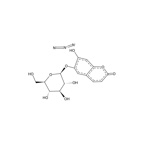 O=c1ccc2cc(O[C@@H]3O[C@H](CO)[C@@H](O)[C@H](O)[C@H]3O)c(O)cc2o1.[N-]=[N+]=[N-]